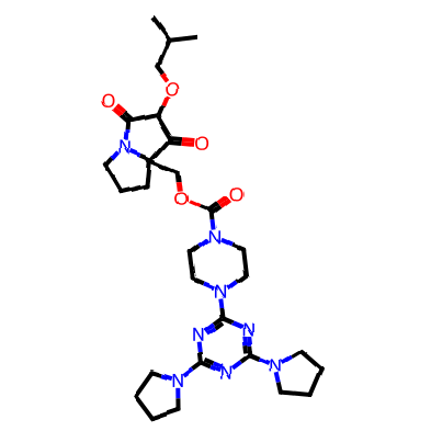 CC(C)COC1C(=O)N2CCCC2(COC(=O)N2CCN(c3nc(N4CCCC4)nc(N4CCCC4)n3)CC2)C1=O